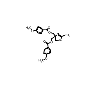 COc1ccc(C(=O)OCC2(COC(=O)c3ccc(OC)cc3)COC(C)=N2)cc1